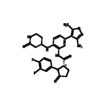 Cc1noc(C)c1-c1ccc(NC2CCNC(=O)C2)c(NC(=O)[C@@H]2CCC(=O)N2c2ccc(F)c(F)c2)c1